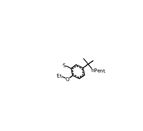 CCCCCC(C)(C)c1ccc(OCC)c([S])c1